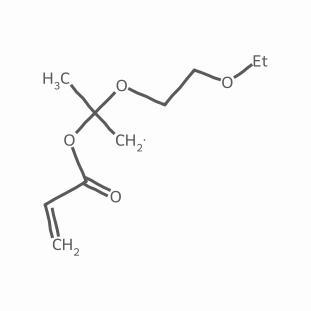 [CH2]C(C)(OCCOCC)OC(=O)C=C